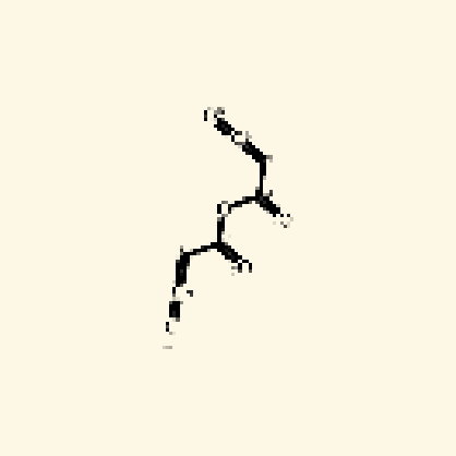 O=C=CC(=O)OC(=O)C=C=O